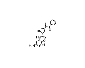 NC(=O)CC(NC(=O)C1CC(NC(=O)c2ccccc2)CN1)C(=O)O